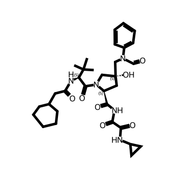 CC(C)(C)[C@H](NC(=O)CC1CCCCC1)C(=O)N1C[C@@](O)(CN(C=O)c2ccccc2)C[C@H]1C(=O)NC(=O)C(=O)NC1CC1